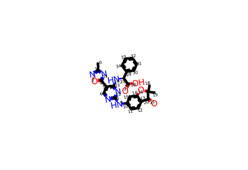 Cc1noc(-c2cnc(Nc3ccc4c(c3)OC(C)(C)C4=O)nc2N[C@H](C(=O)O)c2ccccc2)n1